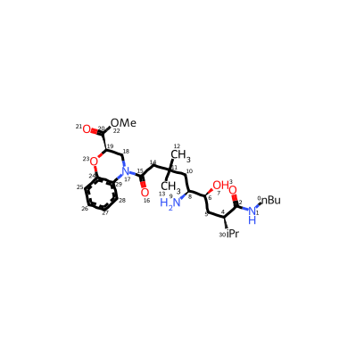 CCCCNC(=O)[C@H](C[C@H](O)[C@@H](N)CC(C)(C)CC(=O)N1C[C@H](C(=O)OC)Oc2ccccc21)C(C)C